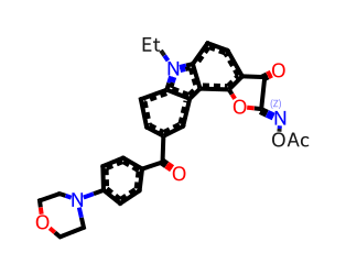 CCn1c2ccc(C(=O)c3ccc(N4CCOCC4)cc3)cc2c2c3c(ccc21)C(=O)/C(=N/OC(C)=O)O3